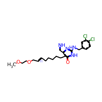 COCCOC/C=C/CCCCCc1c(C=N)nc(NCc2ccc(Cl)c(Cl)c2)[nH]c1=O